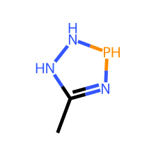 CC1=NPNN1